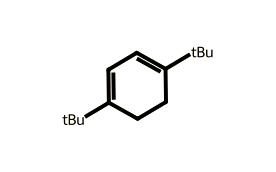 CC(C)(C)C1=CC=C(C(C)(C)C)CC1